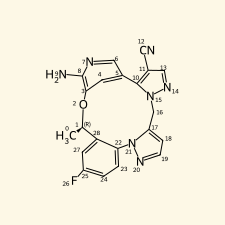 C[C@H]1Oc2cc(cnc2N)-c2c(C#N)cnn2Cc2ccnn2-c2ccc(F)cc21